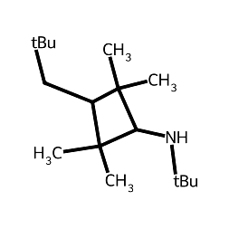 CC(C)(C)CC1C(C)(C)C(NC(C)(C)C)C1(C)C